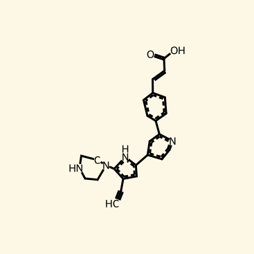 C#Cc1cc(-c2ccnc(-c3ccc(/C=C/C(=O)O)cc3)c2)[nH]c1N1CCNCC1